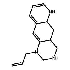 C=CCN1CNCC2CC3NC=CC=C3C=C21